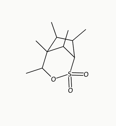 CC1C(C)C2(C)C(C)OS(=O)(=O)C1C2C